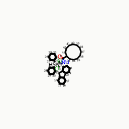 O=C([NH][Zr]([Cl])([Cl])([c]1cccc2c1Cc1ccccc1-2)[SiH](c1ccccc1)c1ccccc1)C1CCCCCCCCCCC1